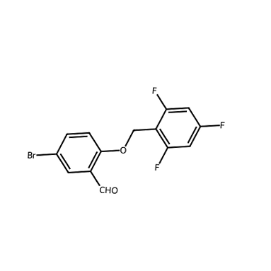 O=Cc1cc(Br)ccc1OCc1c(F)cc(F)cc1F